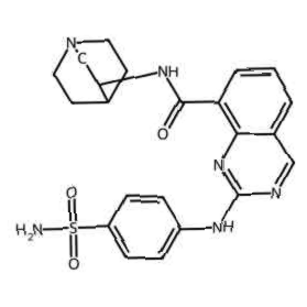 NS(=O)(=O)c1ccc(Nc2ncc3cccc(C(=O)NC4CN5CCC4CC5)c3n2)cc1